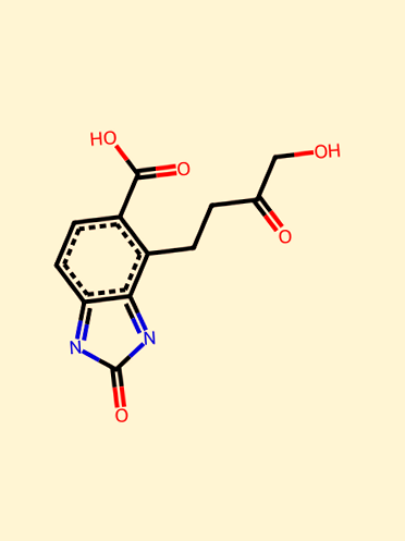 O=C(CO)CCc1c(C(=O)O)ccc2c1=NC(=O)N=2